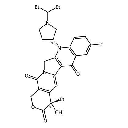 CCC(CC)N1CC[C@@H](n2c3c(c(=O)c4cc(F)ccc42)-c2cc4c(c(=O)n2C3)COC(=O)[C@]4(O)CC)C1